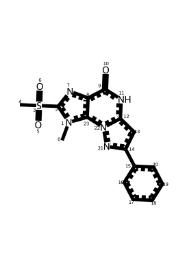 Cn1c(S(C)(=O)=O)nc2c(=O)[nH]c3cc(-c4ccccc4)nn3c21